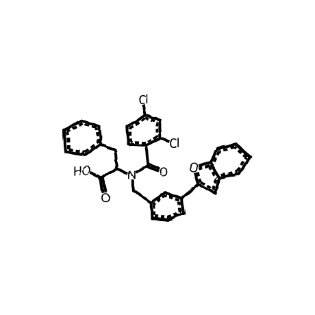 O=C(O)C(Cc1ccccc1)N(Cc1cccc(-c2cc3ccccc3o2)c1)C(=O)c1ccc(Cl)cc1Cl